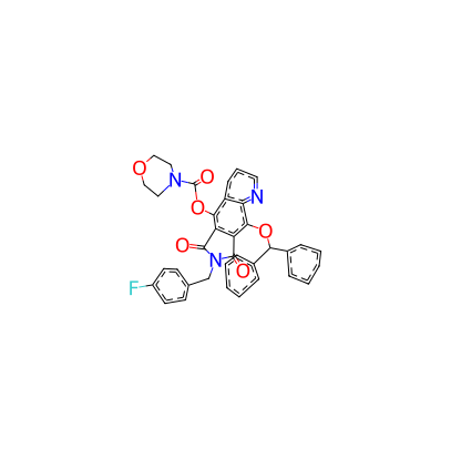 O=C(Oc1c2c(c(OC(c3ccccc3)c3ccccc3)c3ncccc13)C(=O)N(Cc1ccc(F)cc1)C2=O)N1CCOCC1